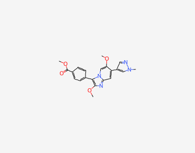 COC(=O)c1ccc(-c2c(OC)nc3cc(-c4cnn(C)c4)c(OC)cn23)cc1